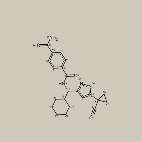 N#CC1(n2cc([C@@H](NC(=O)c3ccc(C(N)=O)cc3)C3CCCCC3)nn2)CC1